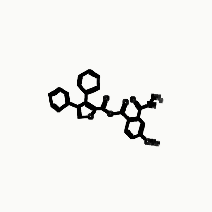 COc1ccc(C(=O)OC(=O)c2occ(-c3ccccc3)c2-c2ccccc2)c(C(=O)NN)c1